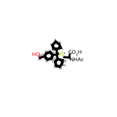 CC(=O)N[C@@H](CSC(c1ccccc1)(c1ccccc1)c1ccc(CO)cc1)C(=O)O